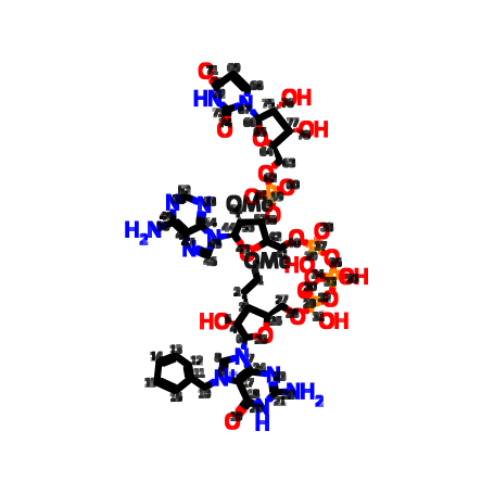 COCC[C@H]1[C@@H](O)[C@H](n2c[n+](Cc3ccccc3)c3c(=O)[nH]c(N)nc32)O[C@@H]1COP(=O)(O)OP(=O)(O)OP(=O)(O)OCC1O[C@@H](n2cnc3c(N)ncnc32)[C@H](OC)[C@@H]1OP(=O)([O-])OC[C@H]1O[C@@H](n2ccc(=O)[nH]c2=O)[C@H](O)[C@@H]1O